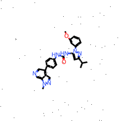 COc1cccc(-n2nc(C(C)C)cc2NC(=O)Nc2ccc(-c3cncc4c3cnn4C)cc2)c1